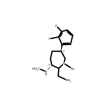 CC(=O)N1C[C@H](c2cccc(F)c2F)CC[C@@H](NC(=O)O)C1CN